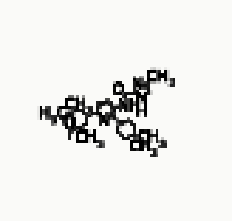 Cc1c[nH]c(C(=O)Nc2ccc(C3CC(C)(C)OC(C)(I)C3)nc2C2=CCC(C)(C)CC2)n1